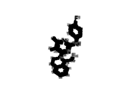 Cc1nc(Nc2ccc(F)cc2)nc(N2CCc3ccccc3C2CF)c1C